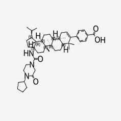 CC(C)[C@@H]1CC[C@]2(NC(=O)N3CCN(C4CCCC4)C(=O)C3)CC[C@]3(C)[C@H](CC[C@@H]4[C@@]5(C)CC=C(c6ccc(C(=O)O)cc6)C(C)(C)[C@@H]5CC[C@]43C)[C@@H]12